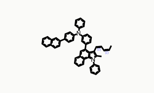 C/C=C\C=C/c1c(C)n(-c2ccccc2)c2c1c(-c1cccc(N(c3ccccc3)c3ccc(-c4ccc5ccccc5c4)cc3)c1)cc1ccccc12